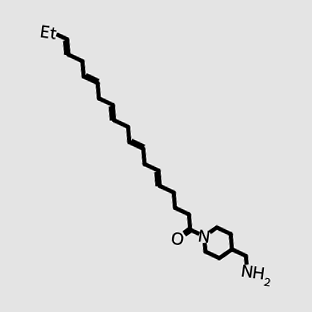 CCC=CCC=CCC=CCC=CCC=CCCCC(=O)N1CCC(CN)CC1